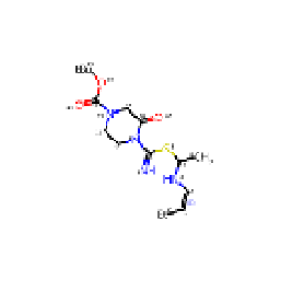 CC/C=C\NC(C)SC(=N)N1CCN(C(=O)OC(C)(C)C)CC1=O